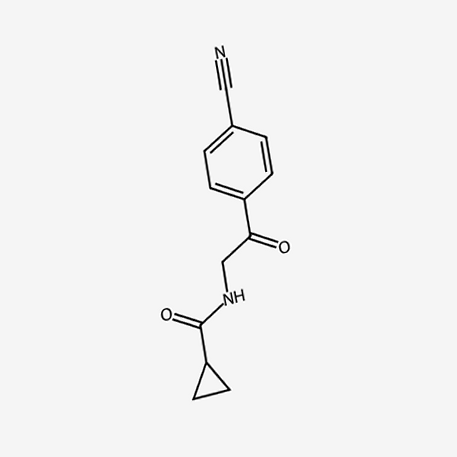 N#Cc1ccc(C(=O)CNC(=O)C2CC2)cc1